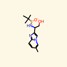 Cc1ccc2nc(C(CO)N[S+]([O-])C(C)(C)C)cn2c1